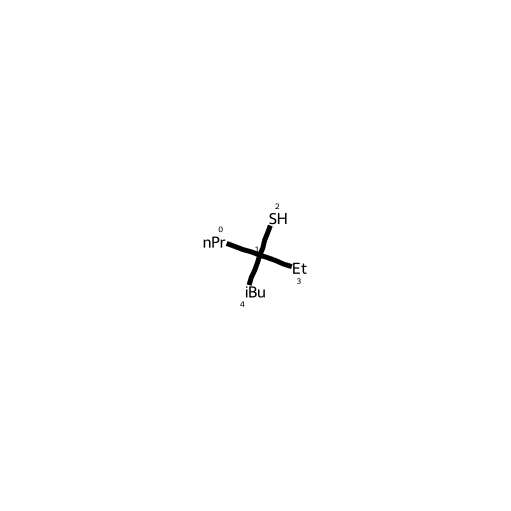 CCCC(S)(CC)C(C)CC